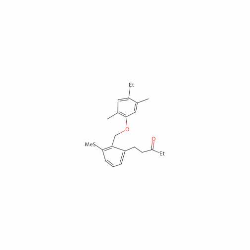 CCC(=O)CCc1cccc(SC)c1COc1cc(C)c(CC)cc1C